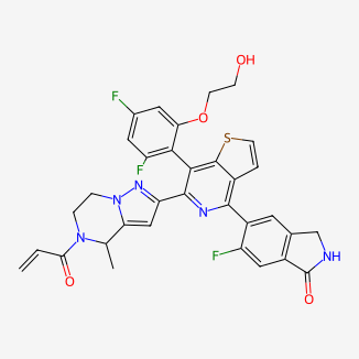 C=CC(=O)N1CCn2nc(-c3nc(-c4cc5c(cc4F)C(=O)NC5)c4ccsc4c3-c3c(F)cc(F)cc3OCCO)cc2C1C